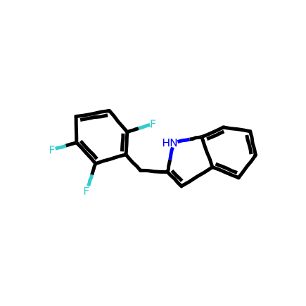 Fc1ccc(F)c(Cc2cc3ccccc3[nH]2)c1F